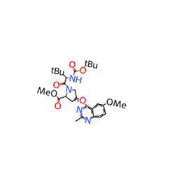 COC(=O)C1C[C@@H](Oc2nc(C)nc3ccc(OC)cc23)CN1C(=O)C(NC(=O)OC(C)(C)C)C(C)(C)C